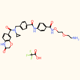 NCCOCCONC(=O)c1ccc(NC(=O)c2ccc(CN(C(=O)c3ccc4c(c3)OCC(=O)N4)C3CC3)cc2)cc1.O=C(O)C(F)(F)F